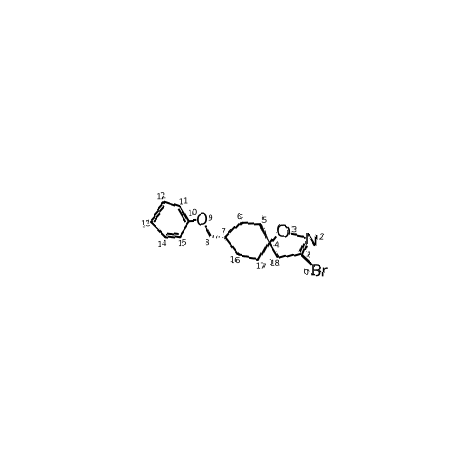 BrC1=NO[C@]2(CC[C@@H](COc3ccccc3)CC2)C1